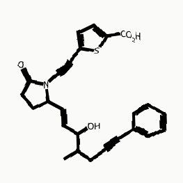 CC(CC#Cc1ccccc1)C(O)/C=C/C1CCC(=O)N1C#Cc1ccc(C(=O)O)s1